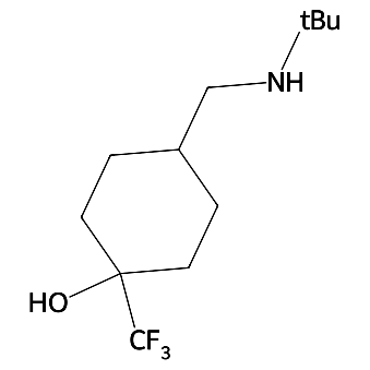 CC(C)(C)NCC1CCC(O)(C(F)(F)F)CC1